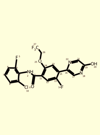 O=C(Nc1c(F)cccc1Cl)c1cc(F)c(-c2cnc(O)cn2)cc1OCC(F)(F)F